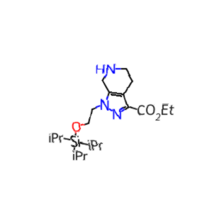 CCOC(=O)c1nn(CCO[Si](C(C)C)(C(C)C)C(C)C)c2c1CCNC2